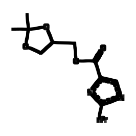 CCCc1ncc(C(=O)OCC2COC(C)(C)O2)s1